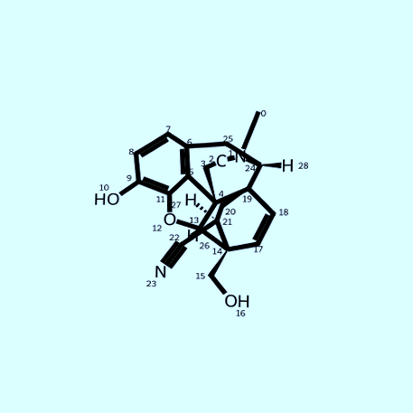 CN1CC[C@]23c4c5ccc(O)c4O[C@H]2[C@@]2(CO)C=C[C@@]3(C[C@@H]2C#N)[C@H]1C5